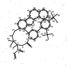 C=C[N+](=C)C1(C)CC(=C)[n+]2ccc(-c3ccc(C(C)(C)C)cc3C(C)(C)C)cc2-c2c(ccc3c2oc2c4cc(F)ccc4ccc32)CCC1(C)C